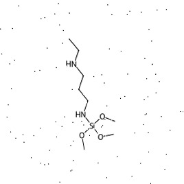 CCNCCCN[Si](OC)(OC)OC